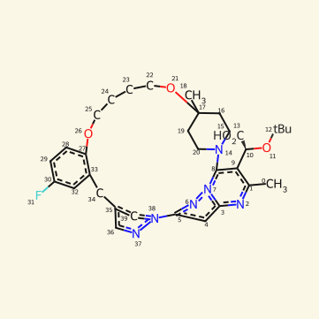 Cc1nc2cc3nn2c(c1[C@H](OC(C)(C)C)C(=O)O)N1CCC(C)(CC1)OCCCCOc1ccc(F)cc1Cc1cnn-3c1